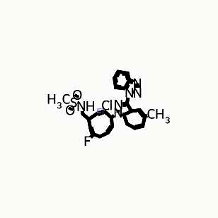 CC1=CC2C(n3nnc4ccccc43)=NN(C3C=CCC(F)=CC(CNS(C)(=O)=O)/C=C\3Cl)C2CC=C1